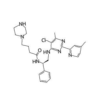 Cc1ccnc(-c2nc(C)c(Cl)c(NC[C@H](NC(=O)CCCN3CCNCC3)c3ccccc3)n2)c1